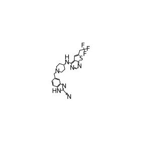 N#Cc1nc2cc(CN3CCC(Nc4ncnc5sc(CC(F)(F)F)cc45)CC3)ccc2[nH]1